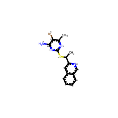 CSc1nc(SC(C)c2cc3ccccc3cn2)nc(N)c1Br